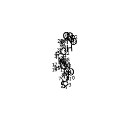 C[C@@H]1c2ccsc2CCN1C(=O)c1cc(C2CC2)n2nc(-c3ccc([C@H]4C[C@@H]4C(=O)NS(C)(=O)=O)cc3F)cc2n1